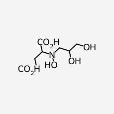 O=C(O)CC(C(=O)O)N(O)CC(O)CO